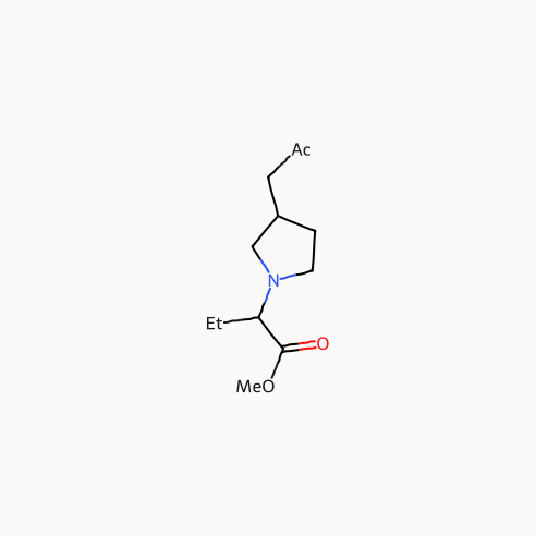 CCC(C(=O)OC)N1CCC(CC(C)=O)C1